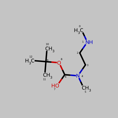 CNCCN(C)C(O)OC(C)(C)C